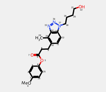 COc1ccc(OC(=O)CCc2ccc3c(nnn3CCCCO)c2C)cc1